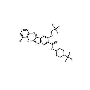 O=C(NC1CCC(C(F)(F)F)CC1)c1cc2nc(Nc3c(Cl)cncc3Cl)[nH]c2cc1OCC(F)(F)F